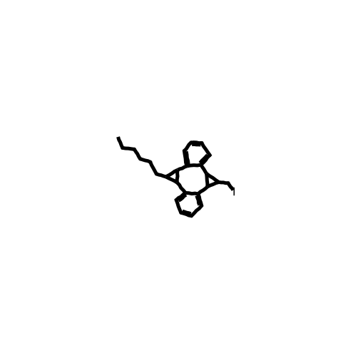 CCCCCCC1C2c3ccccc3C3C(CI)C3c3ccccc3C12